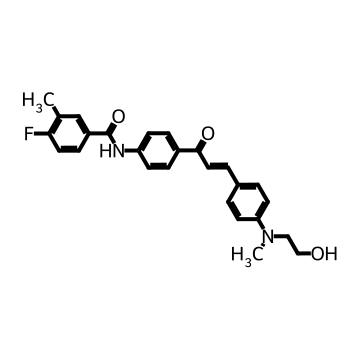 Cc1cc(C(=O)Nc2ccc(C(=O)/C=C/c3ccc(N(C)CCO)cc3)cc2)ccc1F